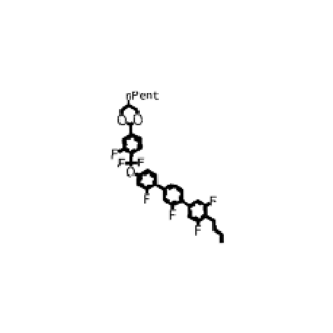 C=CCCc1c(F)cc(-c2ccc(-c3ccc(OC(F)(F)c4ccc(C5OCC(CCCCC)CO5)cc4F)cc3F)cc2F)cc1F